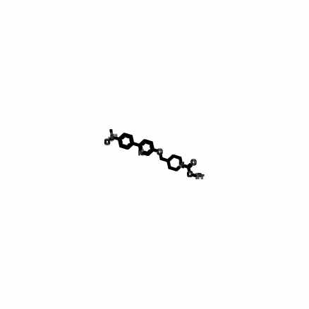 CC(C)OC(=O)N1CCC(COc2ccc(-c3ccc([S@+](C)[O-])cc3)nc2)CC1